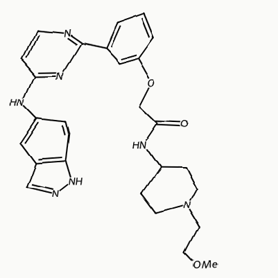 COCCN1CCC(NC(=O)COc2cccc(-c3nccc(Nc4ccc5[nH]ncc5c4)n3)c2)CC1